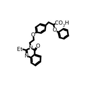 CCc1nc2ccccc2c(=O)n1CCOc1ccc(CC(Oc2ccccc2)C(=O)O)cc1